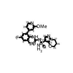 COc1cc(-c2cc(F)cc(C(C)C)c2NC(=O)N=[S@](N)(=O)c2cnn3c2OCCC3)ccn1